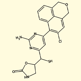 Nc1nc(-c2c(Cl)cc3c4c(cccc24)COC3)cc(C(S)C2CNC(=O)O2)n1